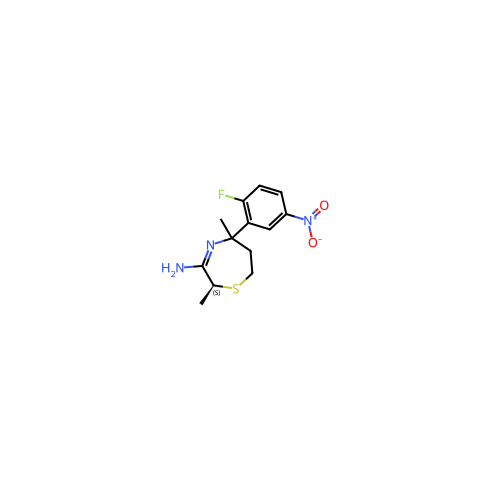 C[C@@H]1SCCC(C)(c2cc([N+](=O)[O-])ccc2F)N=C1N